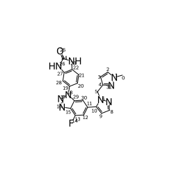 Cn1ccc(Cn2nccc2-c2cc(F)c3nnn(-c4ccc5[nH]c(=O)[nH]c5c4)c3c2)n1